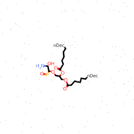 CCCCCCCCCCCCCCCC(=O)OCC(COC(P=O)C(N)O)OC(=O)CCCCCCCCCCCCCCC